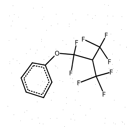 FC(F)(F)C(C(F)(F)F)C(F)(F)Oc1ccccc1